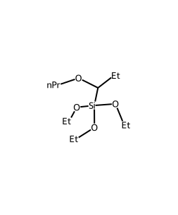 CCCOC(CC)[Si](OCC)(OCC)OCC